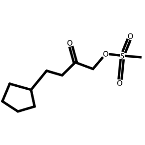 CS(=O)(=O)OCC(=O)CCC1CCCC1